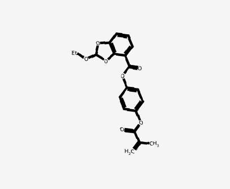 C=C(C)C(=O)Oc1ccc(OC(=O)c2cccc3c2OC(OCC)O3)cc1